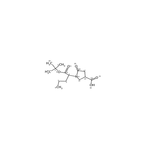 CCCC(C(=O)OC(C)(C)C)N1CC(C(=O)O)CC1=O